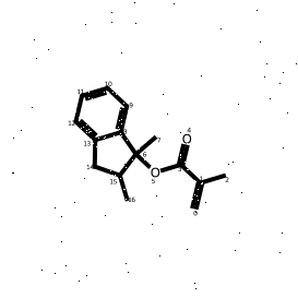 C=C(C)C(=O)OC1(C)c2ccccc2CC1C